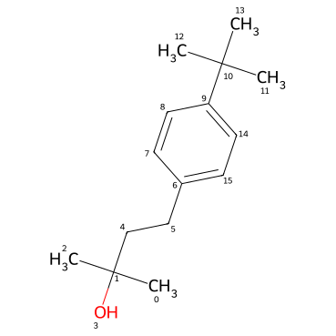 CC(C)(O)CCc1ccc(C(C)(C)C)cc1